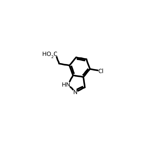 O=C(O)Cc1ccc(Cl)c2cn[nH]c12